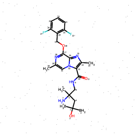 BC(B)(O)CC(C)(N)CNC(=O)c1c(C)nc2c(OCc3c(F)cccc3F)nc(C)cn12